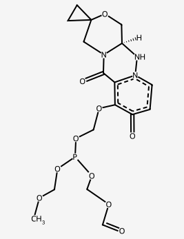 COCOP(OCOC=O)OCOc1c2n(ccc1=O)N[C@@H]1COC3(CC3)CN1C2=O